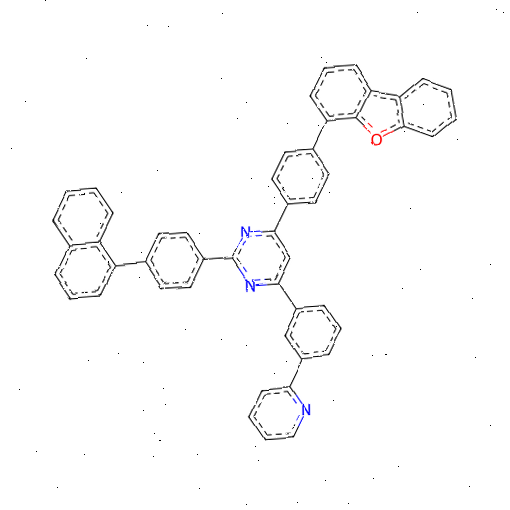 c1ccc(-c2cccc(-c3cc(-c4ccc(-c5cccc6c5oc5ccccc56)cc4)nc(-c4ccc(-c5cccc6ccccc56)cc4)n3)c2)nc1